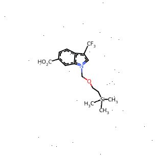 C[Si](C)(C)CCOCn1cc(C(F)(F)F)c2ccc(C(=O)O)cc21